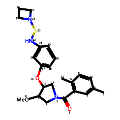 COC1CN(C(=O)c2cc(C)ccc2C)CC1Oc1cccc(NSN2CCC2)c1